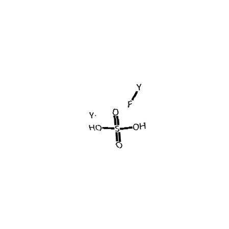 O=S(=O)(O)O.[F][Y].[Y]